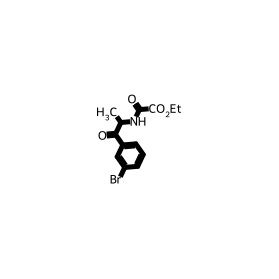 CCOC(=O)C(=O)NC(C)C(=O)c1cccc(Br)c1